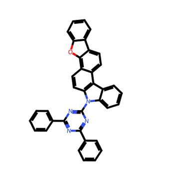 c1ccc(-c2nc(-c3ccccc3)nc(-n3c4ccccc4c4c5ccc6c7ccccc7oc6c5ccc43)n2)cc1